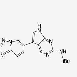 CCC(C)Nc1ncc2c(-c3ccc4ncnn4c3)c[nH]c2n1